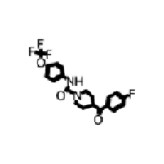 O=C(c1ccc(F)cc1)C1CCN(C(=O)Nc2ccc(OC(F)(F)F)cc2)CC1